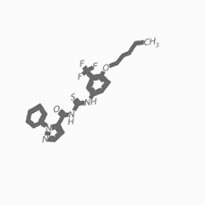 CCCCCOc1ccc(NC(=S)NC(=O)c2ccnn2C2=CC=CCC2)cc1C(F)(F)F